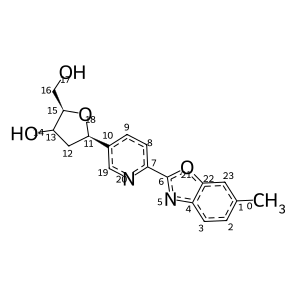 Cc1ccc2nc(-c3ccc([C@H]4CC(O)[C@@H](CO)O4)cn3)oc2c1